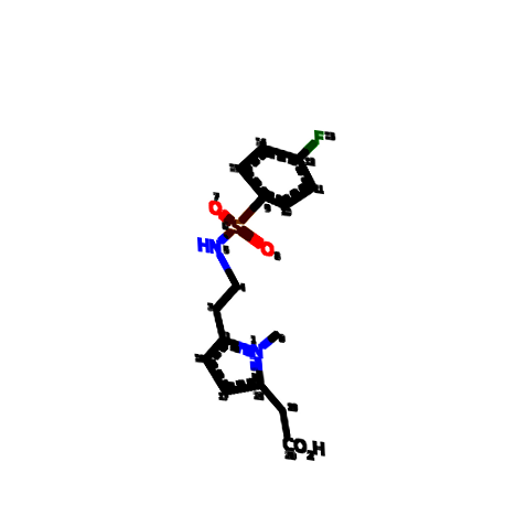 Cn1c(CCNS(=O)(=O)c2ccc(F)cc2)ccc1CC(=O)O